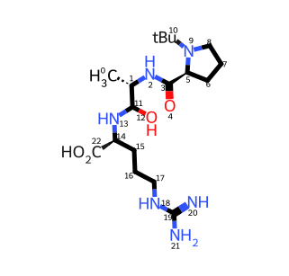 C[C@H](NC(=O)[C@@H]1CCCN1C(C)(C)C)C(O)N[C@@H](CCCNC(=N)N)C(=O)O